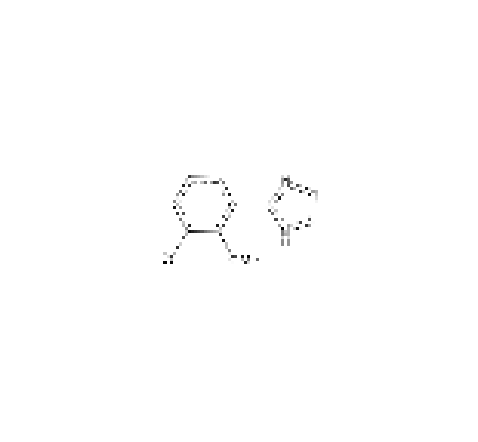 CCc1cccc(-c2ncc[nH]2)c1OC